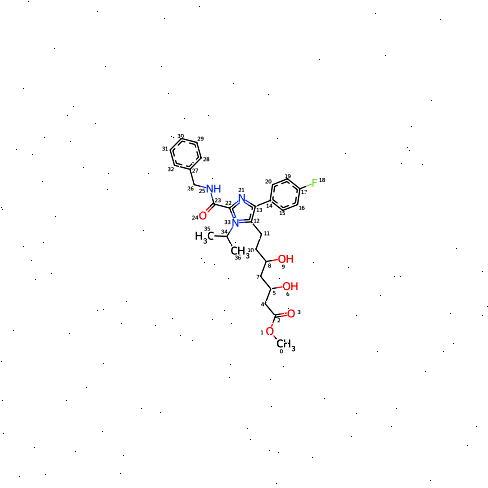 COC(=O)CC(O)CC(O)CCc1c(-c2ccc(F)cc2)nc(C(=O)NCc2ccccc2)n1C(C)C